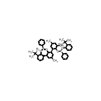 Cc1cc(C)c(OP(Oc2ccccc2C(C)(C)C)c2ccccc2)c(-c2cc(C)cc3c2op(-c2ccccc2)oc2c(C(C)(C)C)cccc23)c1